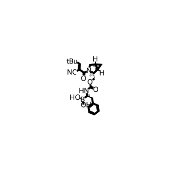 CC(C)(C)C=C(C#N)C(=O)N1C[C@@H]2C[C@@H]2[C@@H]1COC(=O)N[C@@H](Cc1ccccc1)B(O)O